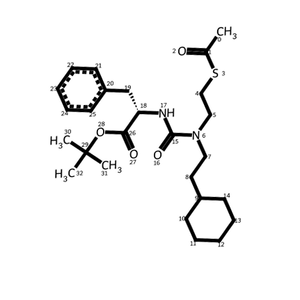 CC(=O)SCCN(CCC1CCCCC1)C(=O)N[C@@H](Cc1ccccc1)C(=O)OC(C)(C)C